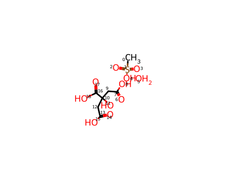 CS(=O)(=O)O.O.O=C(O)CC(O)(CC(=O)O)C(=O)O